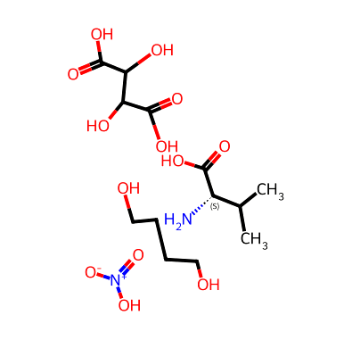 CC(C)[C@H](N)C(=O)O.O=C(O)C(O)C(O)C(=O)O.O=[N+]([O-])O.OCCCCO